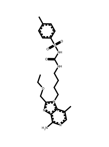 CCOCc1nc2c(N)ncc(C)c2n1CCCCNC(=O)NS(=O)(=O)c1ccc(C)cc1